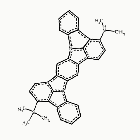 C[SiH](C)c1ccc2c3cc4c(cc3n3c5ccccc5c1c23)c1ccc([Si](C)(C)C)c2c3ccccc3n4c12